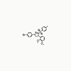 COc1cccc(C2CC(c3ccc(Br)cc3)=NN2S(=O)(=O)c2ccc(C)cc2)c1OC